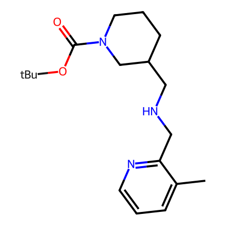 Cc1cccnc1CNCC1CCCN(C(=O)OC(C)(C)C)C1